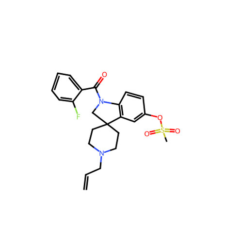 C=CCN1CCC2(CC1)CN(C(=O)c1ccccc1F)c1ccc(OS(C)(=O)=O)cc12